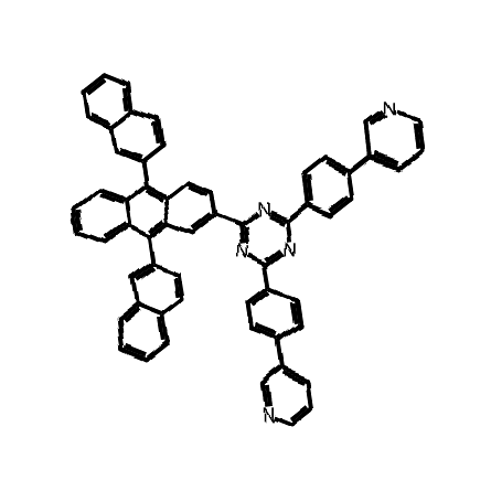 c1cncc(-c2ccc(-c3nc(-c4ccc(-c5cccnc5)cc4)nc(-c4ccc5c(-c6ccc7ccccc7c6)c6ccccc6c(-c6ccc7ccccc7c6)c5c4)n3)cc2)c1